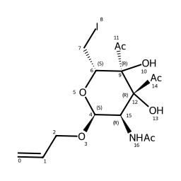 C=CCO[C@H]1O[C@H](CI)[C@](O)(C(C)=O)[C@@](O)(C(C)=O)[C@H]1NC(C)=O